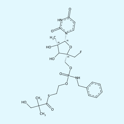 CC(C)(CO)C(=O)SCCOP(=O)(NCc1ccccc1)OC[C@@]1(CF)O[C@@H](n2ccc(=O)[nH]c2=O)[C@](C)(O)C1O